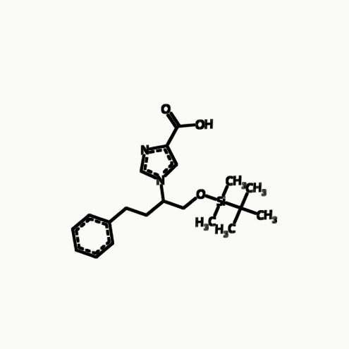 CC(C)(C)[Si](C)(C)OCC(CCc1ccccc1)n1cnc(C(=O)O)c1